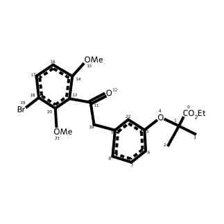 CCOC(=O)C(C)(C)Oc1cccc(CC(=O)c2c(OC)ccc(Br)c2OC)c1